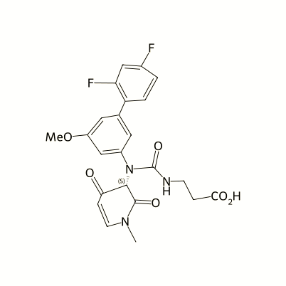 COc1cc(-c2ccc(F)cc2F)cc(N(C(=O)NCCC(=O)O)[C@H]2C(=O)C=CN(C)C2=O)c1